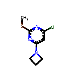 CSc1nc(Cl)cc(N2CCC2)n1